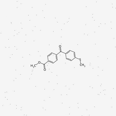 COC(=O)c1ccc(C(=O)c2ccc(SC)cc2)cc1